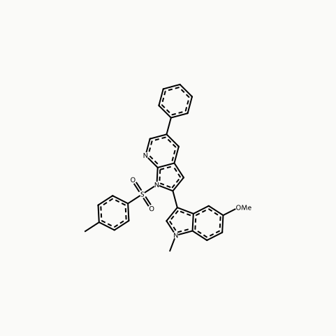 COc1ccc2c(c1)c(-c1cc3cc(-c4ccccc4)cnc3n1S(=O)(=O)c1ccc(C)cc1)cn2C